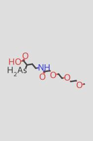 COCCOCCOCC(=O)NCCC([AsH2])C(=O)O